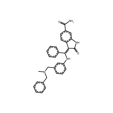 CN(Cc1ccccc1)Cc1cccc(N/C(=C2\C(=O)Nc3cc(C(N)=O)ccc32)c2ccccc2)c1